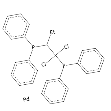 CCC(P(c1ccccc1)c1ccccc1)C(Cl)(Cl)P(c1ccccc1)c1ccccc1.[Pd]